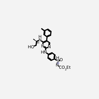 CCOC(=O)/N=[SH](=O)/c1ccc(Nc2ncc(-c3cccc(C)c3)c(N[C@H](C)CO)n2)cc1